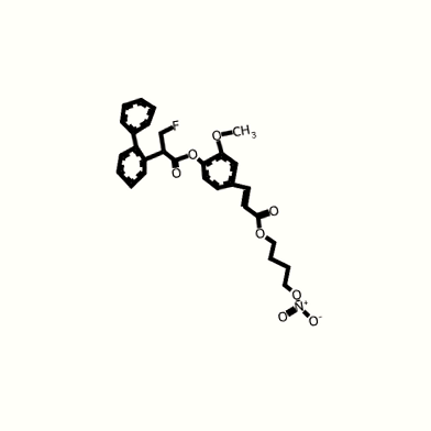 COc1cc(C=CC(=O)OCCCCO[N+](=O)[O-])ccc1OC(=O)C(CF)c1ccccc1-c1ccccc1